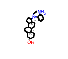 C=CN(C1=CCC2C3CC=C4C[C@@H](O)CC[C@]4(C)C3CC[C@]12C)c1ccccc1N